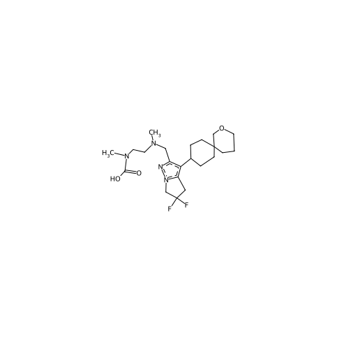 CN(CCN(C)C(=O)O)Cc1nn2c(c1C1CCC3(CCCOC3)CC1)CC(F)(F)C2